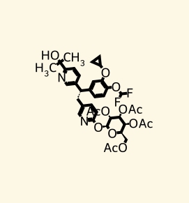 CC(=O)OC[C@H]1O[C@@H](Oc2ccc(C[C@H](c3ccc(C(C)(C)O)nc3)c3ccc(OC(F)F)c(OC4CC4)c3)cn2)[C@H](OC(C)=O)[C@@H](OC(C)=O)[C@H]1OC(C)=O